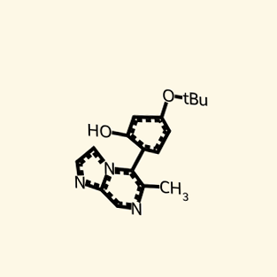 Cc1ncc2nccn2c1-c1ccc(OC(C)(C)C)cc1O